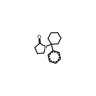 O=C1CCCN1C1(c2ccccc2)CCCCC1